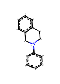 [c]1cccc2c1CN(c1ccccc1)CC2